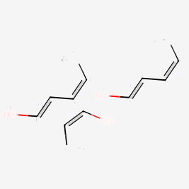 CCCCCC/C=C\O.CCCCCCCCC/C=C\C=C\O.CCCCCCCCCC/C=C\C=C\O